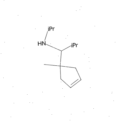 CC(C)NC(C(C)C)C1(C)CC=CC1